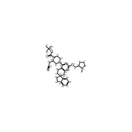 CN1CCCC1COc1nc2c(c(N3CCN(C(=O)OC(C)(C)C)C(CC#N)C3)n1)CCC1(CCc3ccccc31)C2